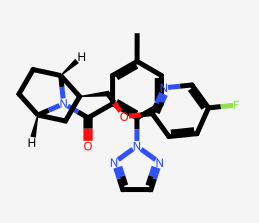 Cc1ccc(-n2nccn2)c(C(=O)N2[C@H]3CC[C@@H]2[C@@H](COc2ccc(F)cn2)C3)c1